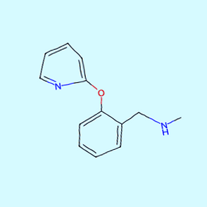 CNCc1ccccc1Oc1ccccn1